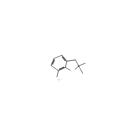 CC1(C)Cc2c[c]cc(O)c2O1